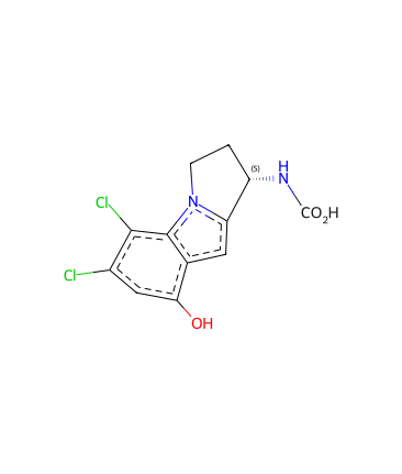 O=C(O)N[C@H]1CCn2c1cc1c(O)cc(Cl)c(Cl)c12